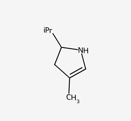 CC1=CNC(C(C)C)C1